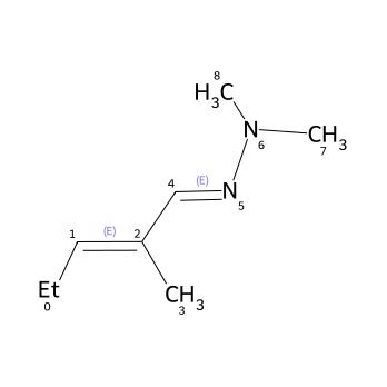 CC/C=C(C)/C=N/N(C)C